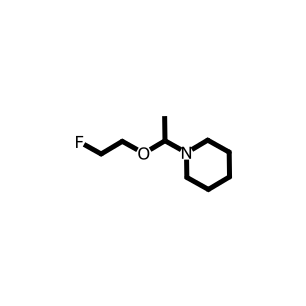 CC(OCCF)N1CCCCC1